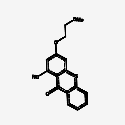 COCCOc1cc(O)c2c(=O)c3ccccc3sc2c1